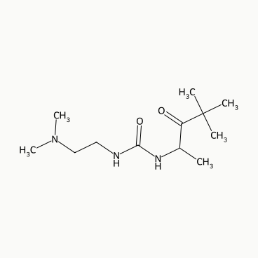 CC(NC(=O)NCCN(C)C)C(=O)C(C)(C)C